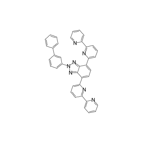 c1ccc(-c2cccc(-n3nc4c(-c5cccc(-c6ccccn6)n5)ccc(-c5cccc(-c6ccccn6)n5)c4n3)c2)cc1